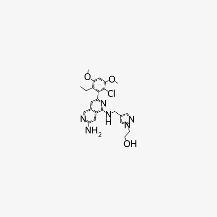 CCc1c(OC)cc(OC)c(Cl)c1-c1cc2cnc(N)cc2c(NCc2cnn(CCO)c2)n1